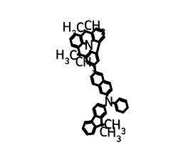 CC1(C)c2ccccc2-c2ccc(N(C3=CCCC=C3)c3ccc4cc(-c5cc6c7c(c5)c5cccc8c5n7-c5c(cccc5C6(C)C)C8(C)C)ccc4c3)cc21